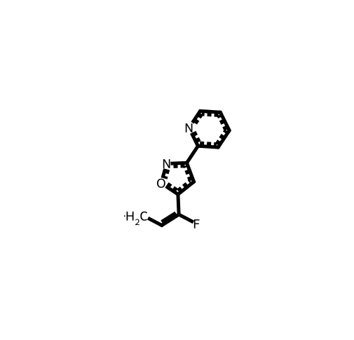 [CH2]/C=C(/F)c1cc(-c2ccccn2)no1